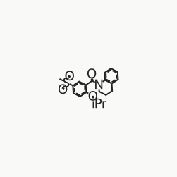 CC(C)Oc1ccc(S(C)(=O)=O)cc1C(=O)N1CCCc2ccccc21